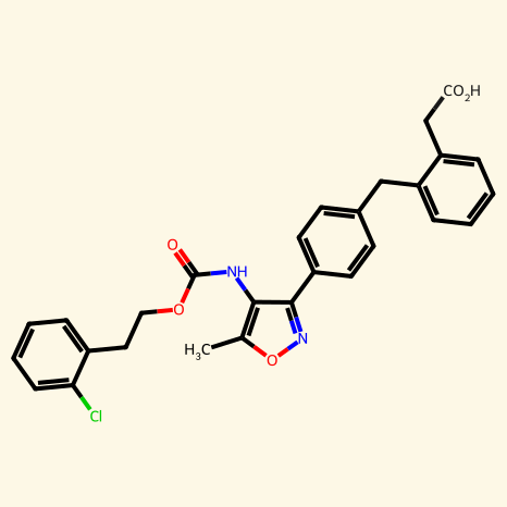 Cc1onc(-c2ccc(Cc3ccccc3CC(=O)O)cc2)c1NC(=O)OCCc1ccccc1Cl